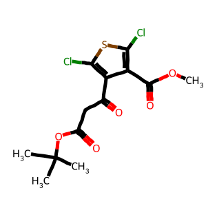 COC(=O)c1c(Cl)sc(Cl)c1C(=O)CC(=O)OC(C)(C)C